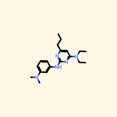 CCCc1cc(N(CC)CC)nc(Nc2cccc(N(C)C)c2)n1